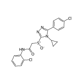 O=C(C[S+]([O-])c1nnc(-c2ccc(Cl)cc2)n1C1CC1)Nc1ccccc1Cl